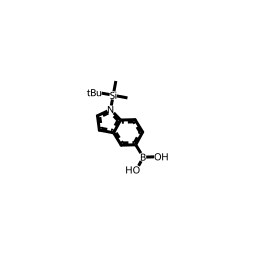 CC(C)(C)[Si](C)(C)n1ccc2cc(B(O)O)ccc21